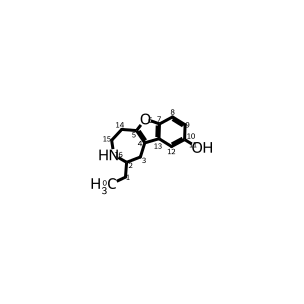 CCC1Cc2c(oc3ccc(O)cc23)CCN1